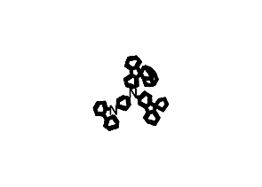 c1ccc2c(c1)-c1cc(N(c3ccc(-n4c5ccccc5c5ccccc54)cc3)c3ccc4c(c3)C3(c5ccccc5-4)C4CC5CC(C4)CC3C5)ccc1C21CCCC1